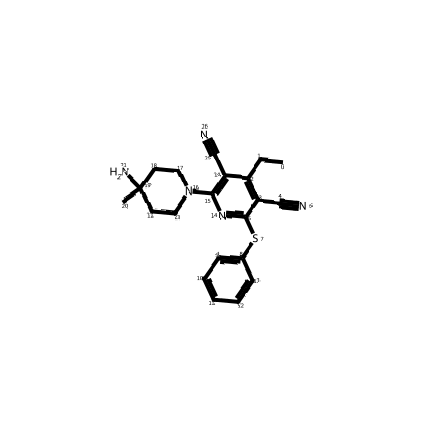 CCc1c(C#N)c(Sc2ccccc2)nc(N2CCC(C)(N)CC2)c1C#N